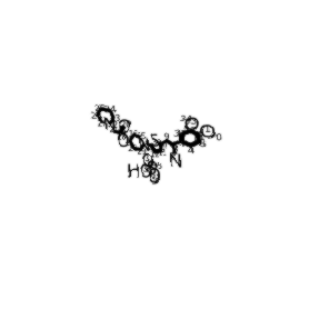 COc1ccc(C(C#N)=Cc2ccc(N3CCC(OC(=O)CN4CCCCC4)CC3)s2)cc1OC.CS(=O)(=O)O